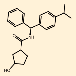 CC(C)c1ccc([C@@H](NC(=O)[C@H]2CCC(O)C2)c2ccccc2)cc1